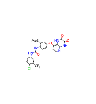 CSc1cc(Oc2ccnc3[nH]c(=O)c(=O)[nH]c23)ccc1NC(=O)Nc1ccc(Cl)c(C(F)(F)F)c1